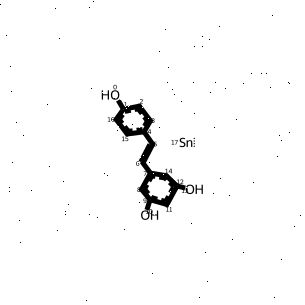 Oc1ccc(/C=C/c2cc(O)cc(O)c2)cc1.[Sn]